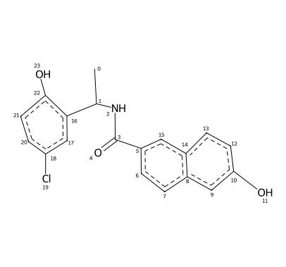 CC(NC(=O)c1ccc2cc(O)ccc2c1)c1cc(Cl)ccc1O